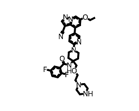 CCOc1cc(-c2ccc(N3CCC(COCCN4CCNCC4)(NC(=O)c4cc(F)ccc4F)CC3)nc2)c2c(C#N)cnn2c1